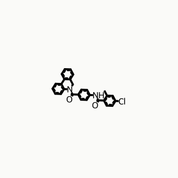 Cc1cc(Cl)ccc1C(=O)Nc1ccc(C(=O)N2Cc3ccccc3-c3ccccc32)cc1